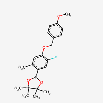 COc1ccc(COc2cc(C)c(B3OC(C)(C)C(C)(C)O3)cc2F)cc1